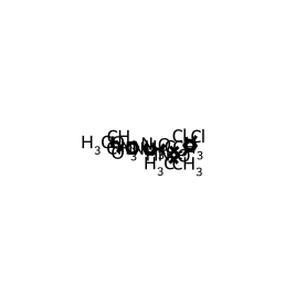 CC(C)(C)OC(=O)N1CCN(c2ccc(C(=O)N[C@H]3C(C)(C)[C@H](Oc4ccc(Cl)c(Cl)c4)C3(C)C)cn2)CC1